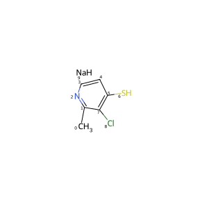 Cc1nccc(S)c1Cl.[NaH]